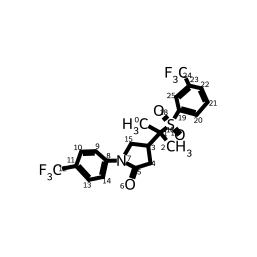 CC(C)(C1CC(=O)N(c2ccc(C(F)(F)F)cc2)C1)S(=O)(=O)c1cccc(C(F)(F)F)c1